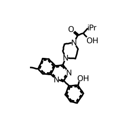 Cc1ccc2c(N3CCN(C(=O)C(O)C(C)C)CC3)nc(-c3ccccc3O)nc2c1